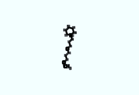 COCCCOCCCN1CCCCC1